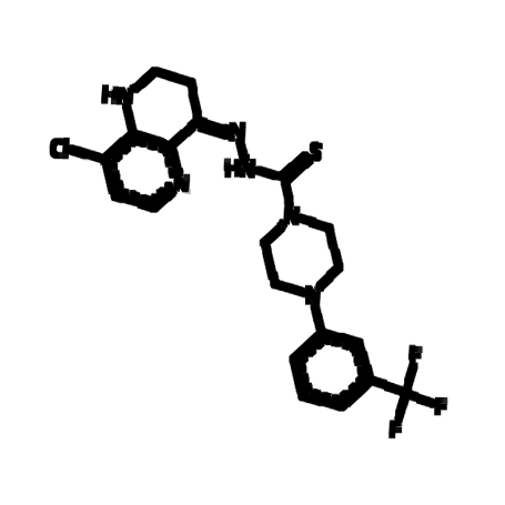 FC(F)(F)c1cccc(N2CCN(C(=S)N/N=C3/CCNc4c(Cl)ccnc43)CC2)c1